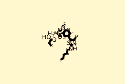 CCC(=O)O.CCCCCNc1nc(C)c(-c2ccc(OC)c(S(N)(=O)=O)c2)s1